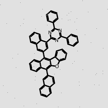 c1ccc(-c2nc(-c3ccccc3)nc(-c3cc(-c4c5ccccc5c(-c5ccc6ccccc6c5)c5oc6ccccc6c45)cc4ccccc34)n2)cc1